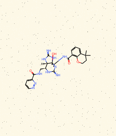 CC1(C)CCOc2c(C(=O)NC3CN4C(=N)N[C@@H](CNC(=O)c5cccnn5)[C@@H]5NC(=N)N[C@@]54[C@@H]3O)cccc21